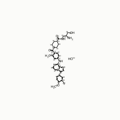 COc1ccc(-c2cnc3c(Nc4ccc(C(=O)N5CCC(C(=O)NCC(N)CO)CC5)c(C)c4)nccn23)cc1F.Cl